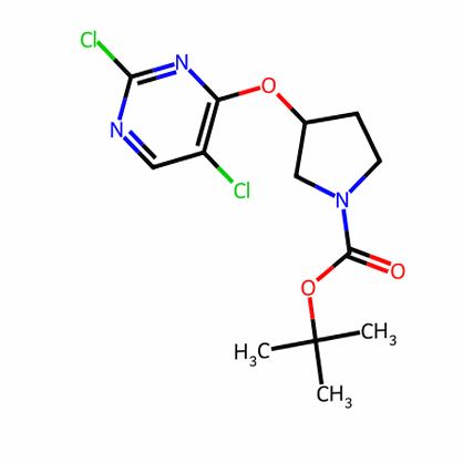 CC(C)(C)OC(=O)N1CCC(Oc2nc(Cl)ncc2Cl)C1